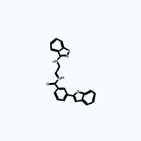 O=C(NCCNc1nsc2ccccc12)c1cccc(-c2cc3ccccc3s2)c1